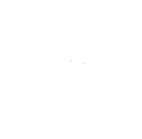 Cc1ccc(C2(c3ccc(C)cc3)c3ccccc3-c3cccc(-n4c5ccccc5c5ccccc54)c32)cc1